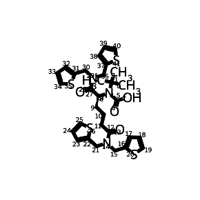 CC(C)(C)N(C(=O)O)[C@@H](CCCC(=O)N(Cc1cccs1)Cc1cccs1)C(=O)N(Cc1cccs1)Cc1cccs1